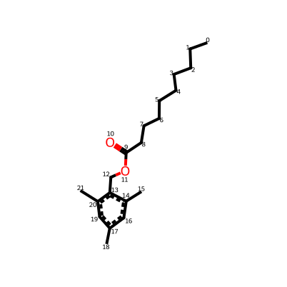 CCCCCCCCCC(=O)OCc1c(C)cc(C)cc1C